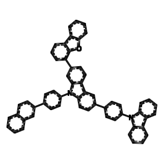 c1ccc2cc(-c3ccc(-n4c5ccc(-c6ccc(-n7c8ccccc8c8ccccc87)cc6)cc5c5ccc(-c6cccc7c6oc6ccccc67)cc54)cc3)ccc2c1